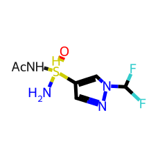 CC(=O)N[SH](N)(=O)c1cnn(C(F)F)c1